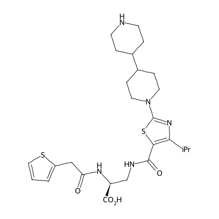 CC(C)c1nc(N2CCC(C3CCNCC3)CC2)sc1C(=O)NC[C@H](NC(=O)Cc1cccs1)C(=O)O